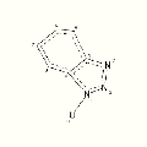 [U][n]1nnc2ccccc21